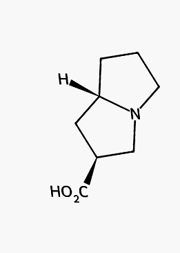 O=C(O)[C@H]1C[C@@H]2CCCN2C1